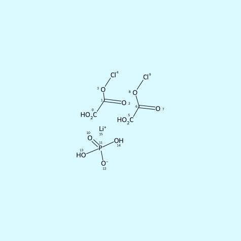 O=C(O)C(=O)OCl.O=C(O)C(=O)OCl.O=P([O-])(O)O.[Li+]